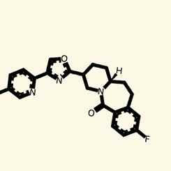 O=C1c2ccc(F)cc2CC[C@H]2CCC(c3nc(-c4ccc(F)cn4)co3)CN12